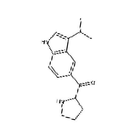 CC(C)c1c[nH]c2ccc(C(=O)C3CCCN3)cc12